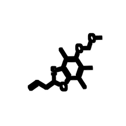 C=CCC1Oc2c(C)c(C)c(OCOC)c(C)c2S1